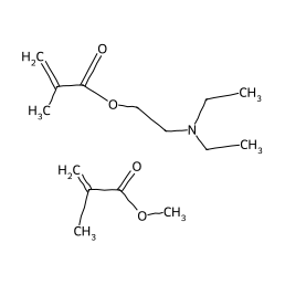 C=C(C)C(=O)OC.C=C(C)C(=O)OCCN(CC)CC